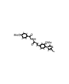 COc1ccc(C(=O)CNC(=O)C=Cc2ccc(-n3cnc(C)c3)c(OC)c2)cc1